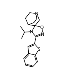 CC(C)N1C(c2cc3ccccc3s2)=NOC12CN1CCC2CC1